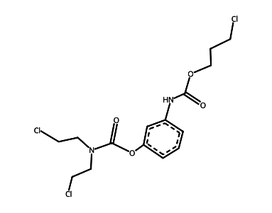 O=C(Nc1cccc(OC(=O)N(CCCl)CCCl)c1)OCCCCl